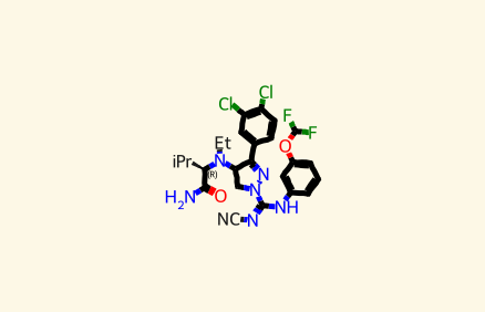 CCN(C1CN(C(=NC#N)Nc2cccc(OC(F)F)c2)N=C1c1ccc(Cl)c(Cl)c1)[C@@H](C(N)=O)C(C)C